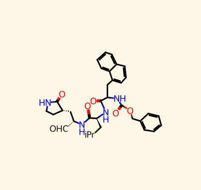 CC(C)C[C@H](NC(=O)C(Cc1cccc2ccccc12)NC(=O)OCc1ccccc1)C(=O)N[C@H](C=O)C[C@@H]1CCNC1=O